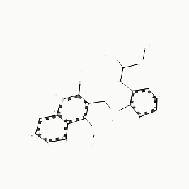 CCOC(Cc1ccccc1OCc1c(Cl)nc2ccccc2c1OC(C)C)C(=O)O